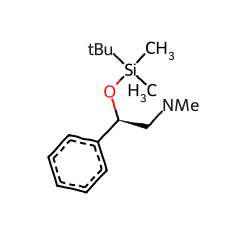 CNC[C@H](O[Si](C)(C)C(C)(C)C)c1ccccc1